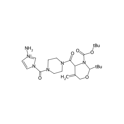 C=C1COC(C(C)(C)C)N(C(=O)OC(C)(C)C)C1C(=O)N1CCN(C(=O)n2cc[n+](N)c2)CC1